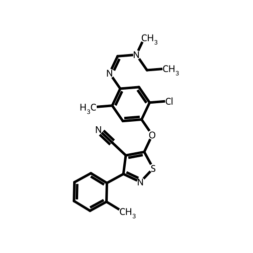 CCN(C)/C=N\c1cc(Cl)c(Oc2snc(-c3ccccc3C)c2C#N)cc1C